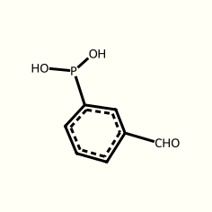 O=Cc1cccc(P(O)O)c1